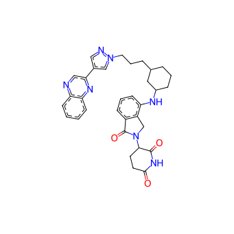 O=C1CCC(N2Cc3c(NC4CCCC(CCCn5cc(-c6cnc7ccccc7n6)cn5)C4)cccc3C2=O)C(=O)N1